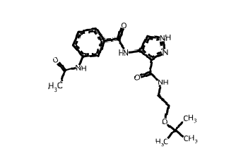 CC(=O)Nc1cccc(C(=O)Nc2c[nH]nc2C(=O)NCCOC(C)(C)C)c1